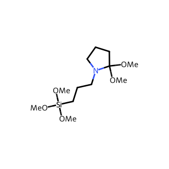 COC1(OC)CCCN1CCC[Si](OC)(OC)OC